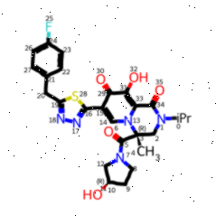 CC(C)N1C[C@](C)(C(=O)N2CC[C@@H](O)C2)n2cc(-c3nnc(Cc4ccc(F)cc4)s3)c(=O)c(O)c2C1=O